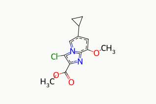 COC(=O)c1nc2c(OC)cc(C3CC3)cn2c1Cl